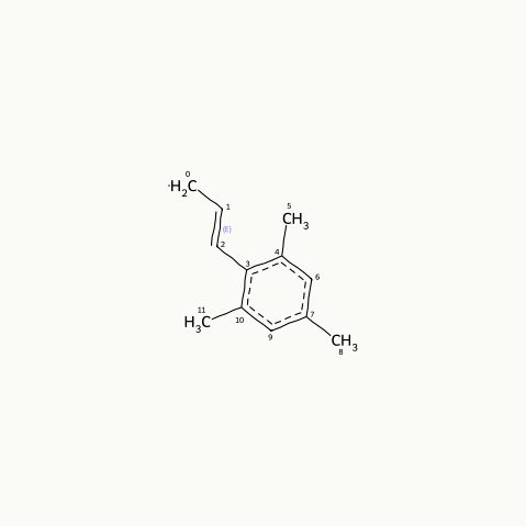 [CH2]/C=C/c1c(C)cc(C)cc1C